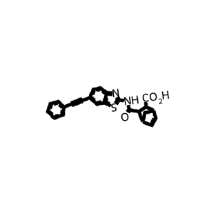 O=C(O)C1C2C=CC(C2)C1C(=O)Nc1nc2ccc(C#Cc3ccccc3)cc2s1